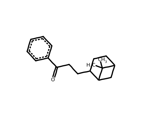 CC1(C)C2CCC(CCC(=O)c3ccccc3)C1C2